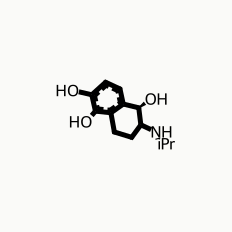 CC(C)NC1CCc2c(ccc(O)c2O)[C@H]1O